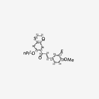 CCCOc1cc2c(cc1C(=O)C=Cc1ccc(OC)c(F)c1)OCCS2